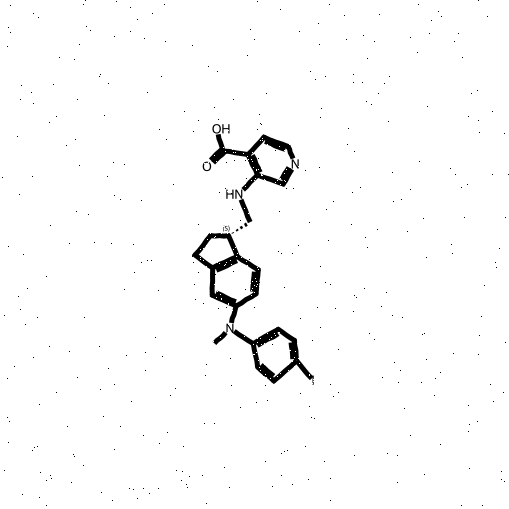 CN(c1ccc(I)cc1)c1ccc2c(c1)CC[C@@H]2CNc1cnccc1C(=O)O